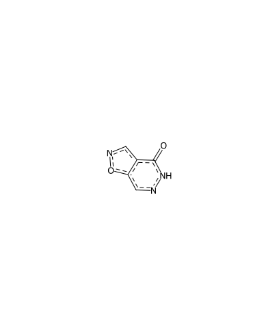 O=c1[nH]ncc2oncc12